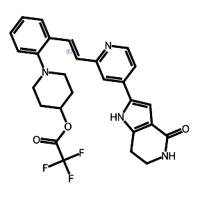 O=C1NCCc2[nH]c(-c3ccnc(/C=C/c4ccccc4N4CCC(OC(=O)C(F)(F)F)CC4)c3)cc21